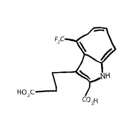 O=C(O)CCc1c(C(=O)O)[nH]c2cccc(C(F)(F)F)c12